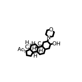 CC(=O)[C@H]1CC[C@H]2[C@@H]3CCC4CC(O)C(N5CCOCC5)C[C@]4(C)[C@H]3CC[C@]12C